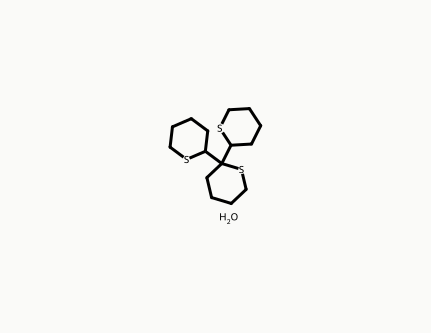 C1CCC(C2(C3CCCCS3)CCCCS2)SC1.O